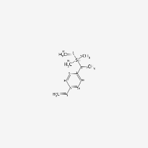 C=Cc1ccc(C(C)[Si](C)(C)C=C)cc1